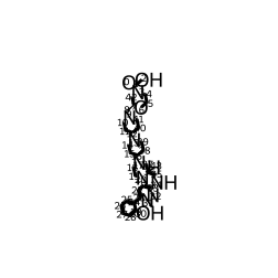 O=C(O)N1CCO[C@@H](CN2CCC(N3CCC(N4CCN5c6cc(-c7ccccc7O)nnc6NC[C@H]5C4)CC3)CC2)C1